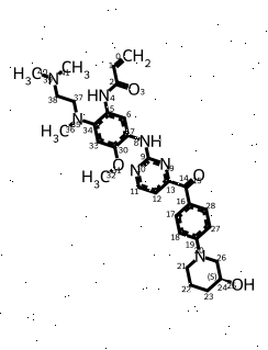 C=CC(=O)Nc1cc(Nc2nccc(C(=O)c3ccc(N4CCC[C@H](O)C4)cc3)n2)c(OC)cc1N(C)CCN(C)C